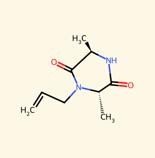 C=CCN1C(=O)[C@@H](C)NC(=O)[C@@H]1C